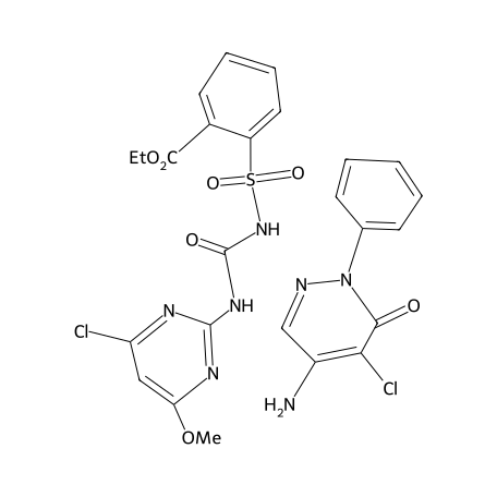 CCOC(=O)c1ccccc1S(=O)(=O)NC(=O)Nc1nc(Cl)cc(OC)n1.Nc1cnn(-c2ccccc2)c(=O)c1Cl